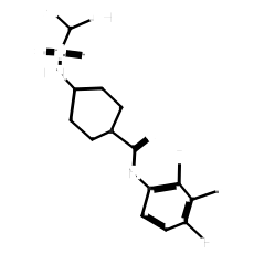 CC(C)S(=O)(=O)NC1CCC(C(=O)Nc2ccc(F)c(F)c2F)CC1